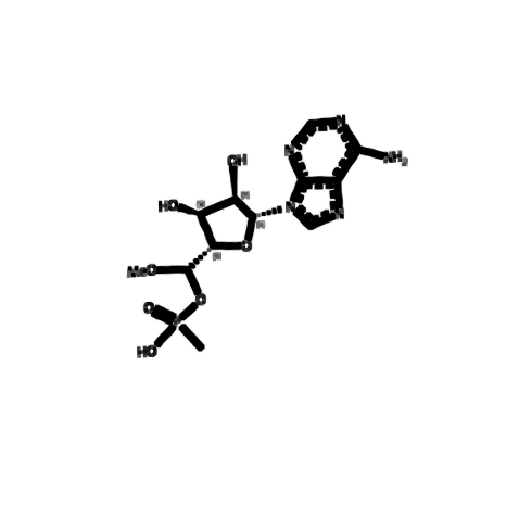 COC(OP(C)(=O)O)[C@H]1O[C@@H](n2cnc3c(N)ncnc32)[C@H](O)[C@@H]1O